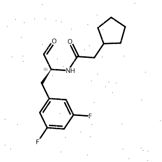 O=C[C@H](Cc1cc(F)cc(F)c1)NC(=O)CC1CCCC1